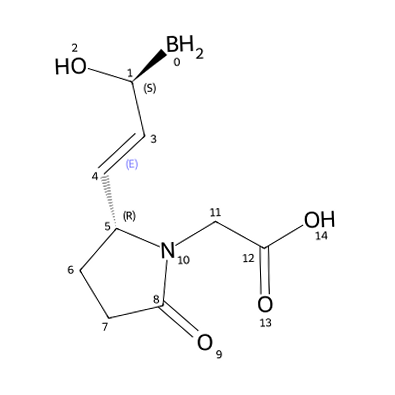 B[C@H](O)/C=C/[C@H]1CCC(=O)N1CC(=O)O